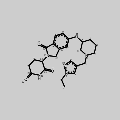 CCn1cc(CN2CCCC(Oc3ccc4c(c3)CN(C3CCC(=O)NC3=O)C4=O)C2)cn1